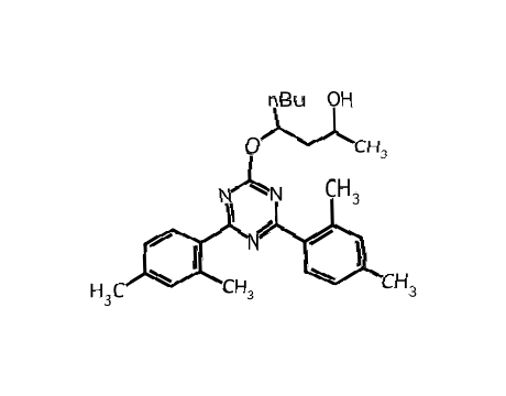 CCCCC(CC(C)O)Oc1nc(-c2ccc(C)cc2C)nc(-c2ccc(C)cc2C)n1